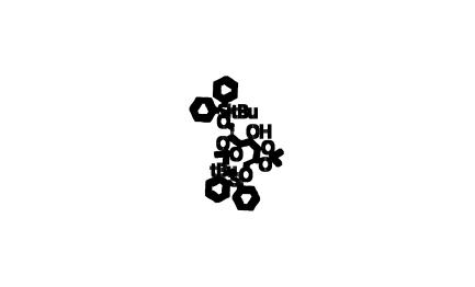 CC1(C)O[C@@H]([C@H](O)[C@@H]2OC(C)(C)O[C@@H]2CO[Si](c2ccccc2)(c2ccccc2)C(C)(C)C)[C@H](CO[Si](c2ccccc2)(c2ccccc2)C(C)(C)C)O1